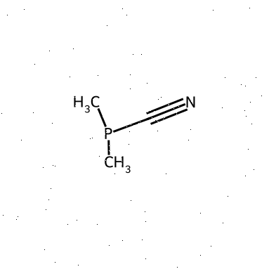 CP(C)C#N